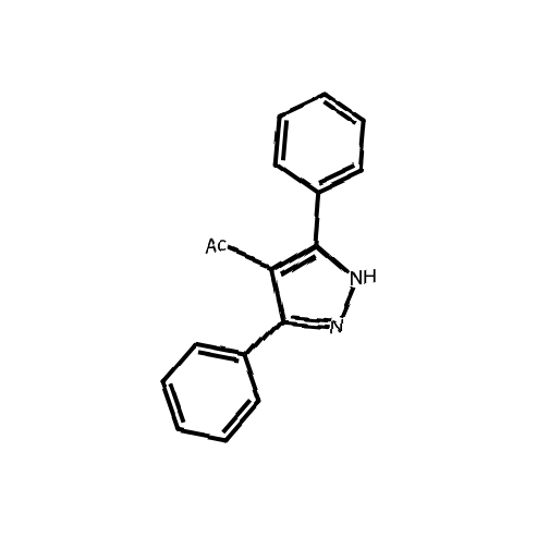 CC(=O)c1c(-c2ccccc2)n[nH]c1-c1ccccc1